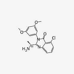 COc1cc(OC)cc(-n2c([C@H](C)N)nc3cccc(Cl)c3c2=O)c1